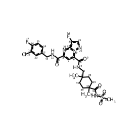 CC1(CNC(=O)c2cc(C(=O)NCc3ccc(F)c(Cl)c3)nc3c(F)cnn23)CCC(C)(C(=O)NS(C)(=O)=O)CC1